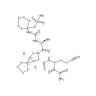 C#CCCC(NC(=O)[C@@H]1[C@@H]2[C@H](CN1C(=O)[C@@H](NC(=O)NC1(CS(=O)(=O)C(C)(C)C)CCCCC1)C(C)(C)C)C21CCCC1)C(=O)C(N)=O